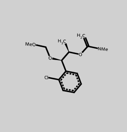 C=C(NC)O[C@H](C)[C@H](OCOC)c1ccccc1Cl